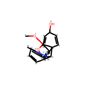 COC1=CC23C=CC(O)C=C2OC2=CC=CC(=CN1C)C23